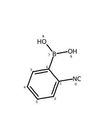 [C-]#[N+]c1ccccc1B(O)O